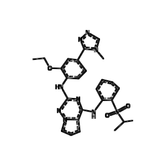 CCOc1cc(-c2nncn2C)ccc1Nc1nc(Nc2ccccc2S(=O)(=O)C(C)C)c2cccn2n1